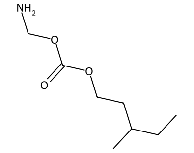 CCC(C)CCOC(=O)OCN